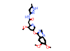 COc1cc2ncnc(Oc3cnc(CC(=O)Nc4cc(C)[nH]n4)c(OC)c3)c2cc1OC